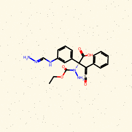 CCOC(=O)N(N)[C@](C(=O)O)(C(=C=O)c1ccccc1)c1cccc(NC=NN)c1